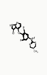 C[C@@H]1CN=C(Nc2cc(F)c(Oc3ccnc4[nH]cc(Cl)c34)c(F)c2)SC1